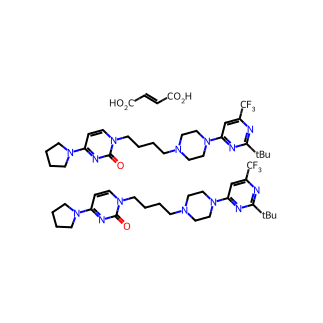 CC(C)(C)c1nc(N2CCN(CCCCn3ccc(N4CCCC4)nc3=O)CC2)cc(C(F)(F)F)n1.CC(C)(C)c1nc(N2CCN(CCCCn3ccc(N4CCCC4)nc3=O)CC2)cc(C(F)(F)F)n1.O=C(O)C=CC(=O)O